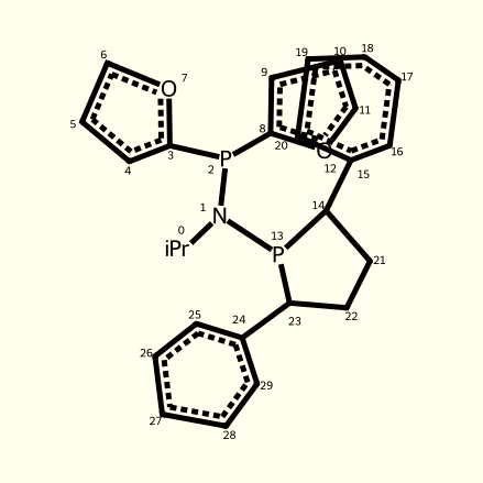 CC(C)N(P(c1ccco1)c1ccco1)P1C(c2ccccc2)CCC1c1ccccc1